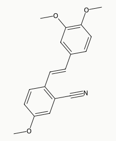 COc1ccc(C=Cc2ccc(OC)c(OC)c2)c(C#N)c1